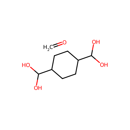 C=O.OC(O)C1CCC(C(O)O)CC1